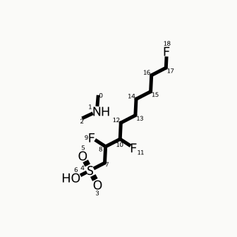 CNC.O=S(=O)(O)CC(F)C(F)CCCCCCF